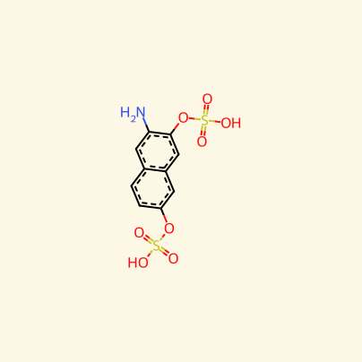 Nc1cc2ccc(OS(=O)(=O)O)cc2cc1OS(=O)(=O)O